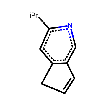 CC(C)c1cc2c(cn1)C=CC2